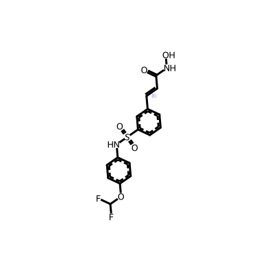 O=C(/C=C/c1cccc(S(=O)(=O)Nc2ccc(OC(F)F)cc2)c1)NO